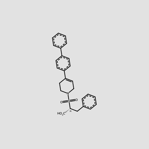 O=C(O)[C@@H](Cc1ccccc1)S(=O)(=O)N1CC=C(c2ccc(-c3ccccc3)cc2)CC1